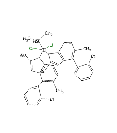 CCc1ccccc1-c1c(C)ccc2c1C=C(C(C)CC)[CH]2[Zr]([Cl])([Cl])([CH]1C(C(C)CC)=Cc2c1ccc(C)c2-c1ccccc1CC)[SiH](C)C